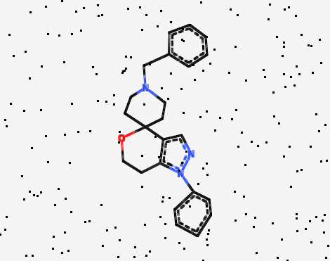 c1ccc(CN2CCC3(CC2)OCCc2c3cnn2-c2ccccc2)cc1